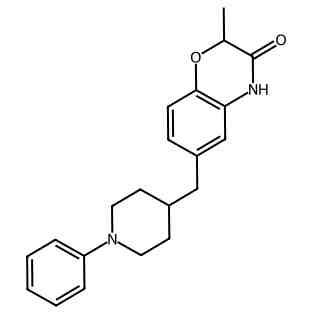 CC1Oc2ccc(CC3CCN(c4ccccc4)CC3)cc2NC1=O